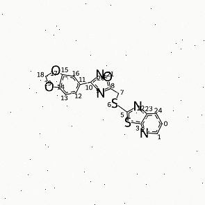 c1cnc2sc(SCc3nc(-c4ccc5c(c4)OCO5)no3)nc2c1